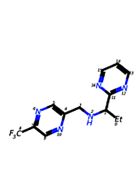 CCC(NCc1cnc(C(F)(F)F)cn1)c1ncccn1